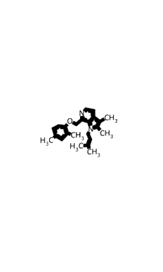 CC(C)=CCn1c(C)c(C)c2ccnc(COc3ccc(C)cc3C)c21